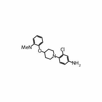 CNc1ccccc1OC1CCN(c2ccc(N)cc2Cl)CC1